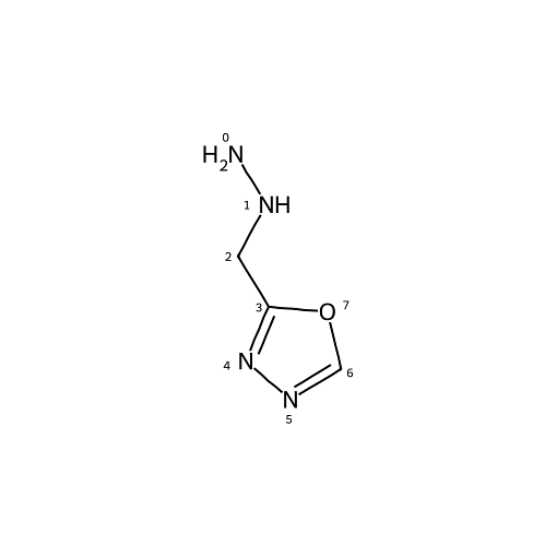 NNCc1nnco1